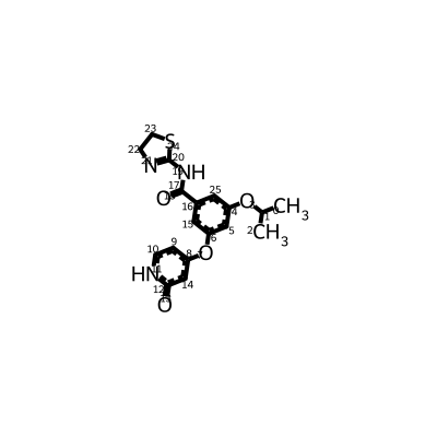 CC(C)Oc1cc(Oc2cc[nH]c(=O)c2)cc(C(=O)NC2=NCCS2)c1